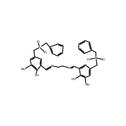 CC[N+](CC)(Cc1ccccc1)Cc1cc(/C=N/CC/N=C/c2cc(C[N+](CC)(CC)Cc3ccccc3)cc(C(C)(C)C)c2O)c(O)c(C(C)(C)C)c1